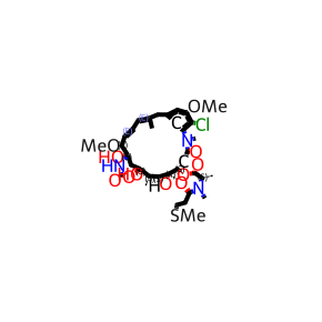 COc1cc2cc(c1Cl)N(C)C(=O)C[C@H](OC(=O)[C@H](C)N(C)C(=O)CCSC)[C@@]1(C)O[C@H]1[C@H](C)[C@]1(O)C[C@@](O)(NC(=O)O1)[C@H](OC)/C=C/C=C(\C)C2